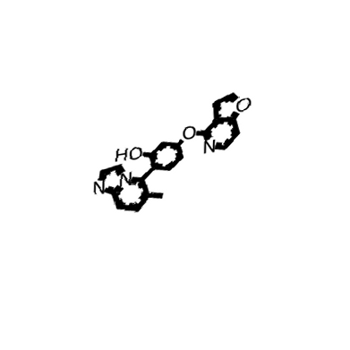 Cc1ccc2nccn2c1-c1ccc(Oc2nccc3occc23)cc1O